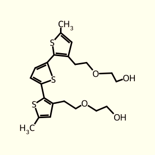 Cc1cc(CCOCCO)c(-c2ccc(-c3sc(C)cc3CCOCCO)s2)s1